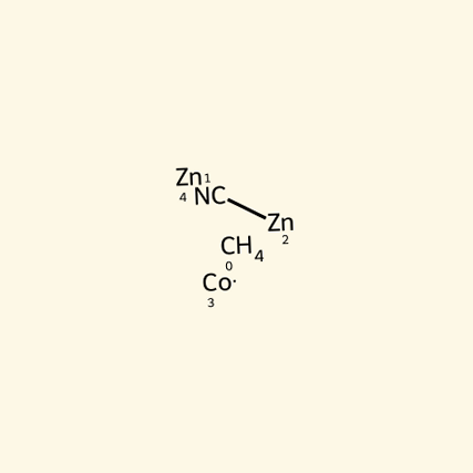 C.N#[C][Zn].[Co].[Zn]